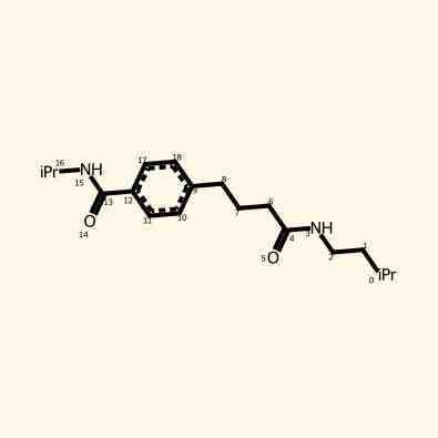 CC(C)CCNC(=O)CCCc1ccc(C(=O)NC(C)C)cc1